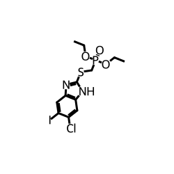 CCOP(=O)(CSc1nc2cc(I)c(Cl)cc2[nH]1)OCC